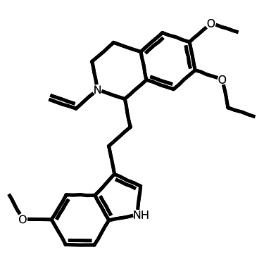 C=CN1CCc2cc(OC)c(OCC)cc2C1CCc1c[nH]c2ccc(OC)cc12